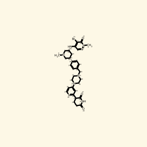 CN1C[C@H](Nc2cnn(C)c(=O)c2Br)C[C@H](c2ccc(CN3CCN(c4ccnc(C5CCC(=O)NC5=O)c4)CC3)cc2)C1